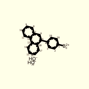 [B+2]c1ccc(-c2cc3ccccc3c3ccccc23)cc1.[OH-].[OH-]